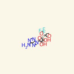 Nc1ncnc2c1ncn2[C@@H]1O[C@H](C(OC(F)(F)F)[C@@H]2CCOC2)[C@@H](O)[C@H]1O